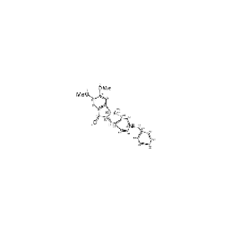 COc1cc2c(cc1OC)C(=O)/C(=C/c1cc[n+](Cc3ccccc3)cc1C(C)=O)C2